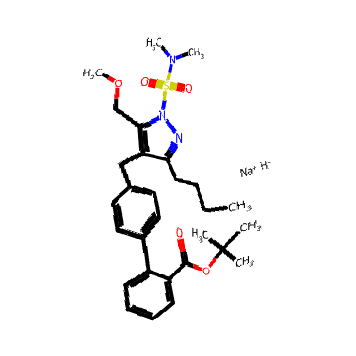 CCCCc1nn(S(=O)(=O)N(C)C)c(COC)c1Cc1ccc(-c2ccccc2C(=O)OC(C)(C)C)cc1.[H-].[Na+]